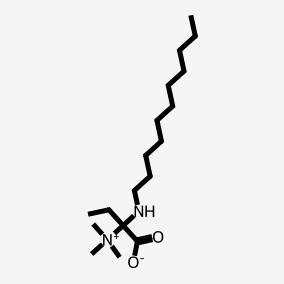 CCCCCCCCCCCNC(CC)(C(=O)[O-])[N+](C)(C)C